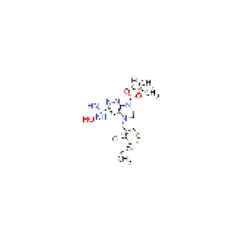 C=C/C=C(F)\C(Cl)=C(/CCl)CN1CCN(C(=O)OC(C)(C)C)c2nnc(C(=N)NO)cc21